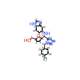 OCc1ccc(C(Nc2ccc3[nH]cnc3c2)c2nnnn2Cc2ccc(Cl)cc2)o1